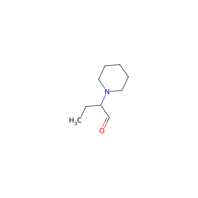 CCC(C=O)N1CCCCC1